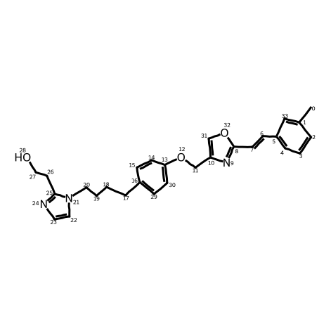 Cc1cccc(/C=C/c2nc(COc3ccc(CCCCn4ccnc4CCO)cc3)co2)c1